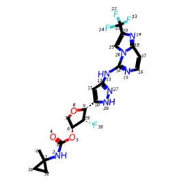 CC1(NC(=O)O[C@@H]2CO[C@H](c3cc(Nc4nccc5nc(C(F)(F)F)cn45)n[nH]3)[C@@H]2F)CC1